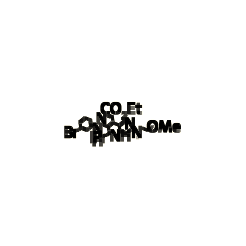 CCOC(=O)c1cc(-c2ccc(N(C)CCOC)nc2)c(C(=N)C(C)C)c(Nc2cccc(Br)c2)n1